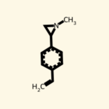 C=Cc1ccc(C2CN2C)cc1